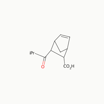 CC(C)C(=O)C1C2C=CC(C2)C1C(=O)O